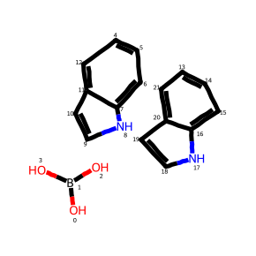 OB(O)O.c1ccc2[nH]ccc2c1.c1ccc2[nH]ccc2c1